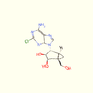 Nc1nc(Cl)nc2c1ncn2[C@H]1[C@H](O)[C@H](O)[C@@]2(CO)C[C@H]12